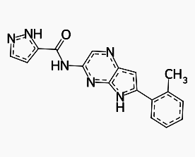 Cc1ccccc1-c1cc2ncc(NC(=O)c3ccn[nH]3)nc2[nH]1